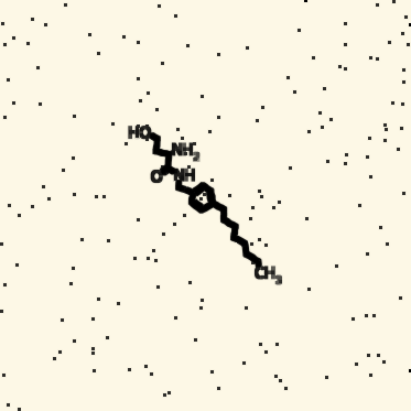 CCCCCCCCc1ccc(CNC(=O)[C@@H](N)CCO)cc1